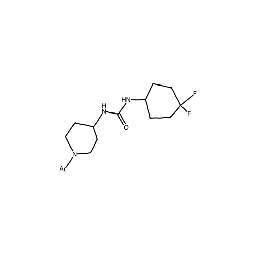 CC(=O)N1CCC(NC(=O)NC2CCC(F)(F)CC2)CC1